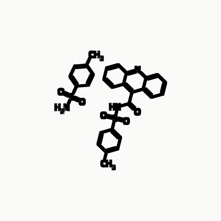 Cc1ccc(S(=O)(=O)NC(=O)c2c3ccccc3nc3ccccc23)cc1.Cc1ccc(S(N)(=O)=O)cc1